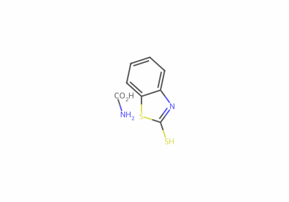 NC(=O)O.Sc1nc2ccccc2s1